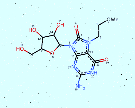 COCCn1c(=O)n(C2OC(CO)C(O)C2O)c2nc(N)[nH]c(=O)c21